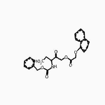 O=C(O)CC(NC(=O)OCc1ccccc1)C(=O)COC(=O)COc1cccc2ccccc12